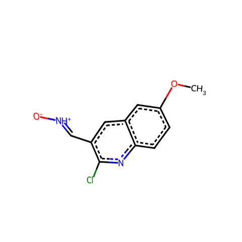 COc1ccc2nc(Cl)c(C=[NH+][O-])cc2c1